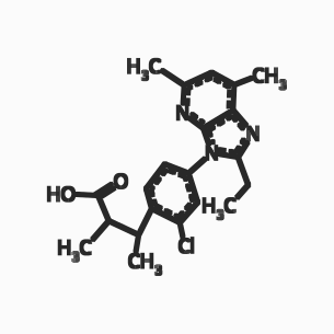 CCc1nc2c(C)cc(C)nc2n1-c1ccc(C(C)C(C)C(=O)O)c(Cl)c1